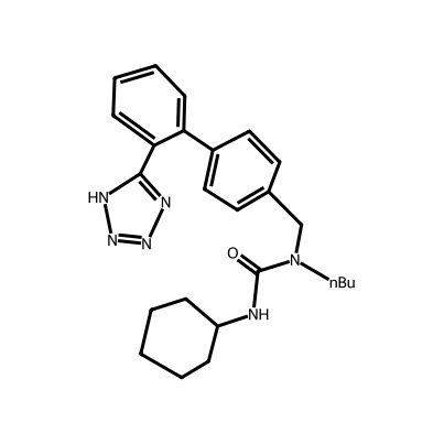 CCCCN(Cc1ccc(-c2ccccc2-c2nnn[nH]2)cc1)C(=O)NC1CCCCC1